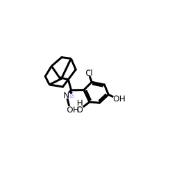 O/N=C(\c1c(O)cc(O)cc1Cl)C12CC3CC(CC(C3)C1)C2